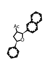 CC(=O)C1C[C@H](c2ccccc2)O[C@@H]1c1ccc2ccccc2c1